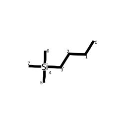 [CH2]CC[CH][Si](C)(C)C